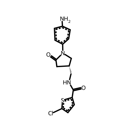 Nc1ccc(N2C[C@H](CNC(=O)c3ccc(Cl)s3)CC2=O)cc1